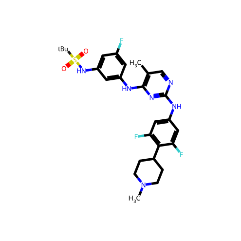 Cc1cnc(Nc2cc(F)c(C3CCN(C)CC3)c(F)c2)nc1Nc1cc(F)cc(NS(=O)(=O)C(C)(C)C)c1